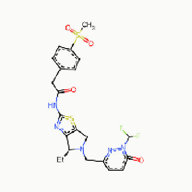 CC[C@H]1c2nc(NC(=O)Cc3ccc(S(C)(=O)=O)cc3)sc2CN1Cc1ccc(=O)n(C(F)F)n1